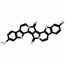 Cc1ccc2c3c(oc2c1)C1=C2C(=O)N4C=Cc5c(oc6cc(Br)ccc56)C4=C2C(=O)N1C=C3